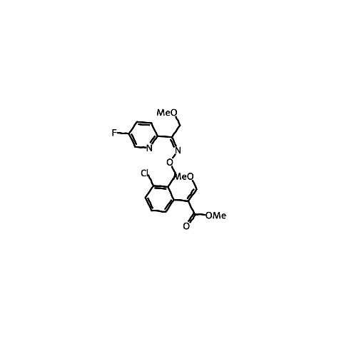 CO/C=C(/C(=O)OC)c1cccc(Cl)c1CO/N=C(/COC)c1ccc(F)cn1